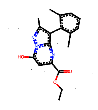 CCOC(=O)c1cc(O)n2nc(C)c(-c3c(C)cccc3C)c2n1